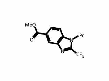 COC(=O)c1ccc2c(c1)nc(C(F)(F)F)n2C(C)C